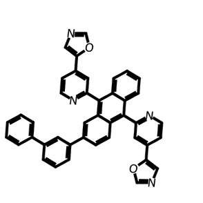 c1ccc(-c2cccc(-c3ccc4c(-c5cc(-c6cnco6)ccn5)c5ccccc5c(-c5cc(-c6cnco6)ccn5)c4c3)c2)cc1